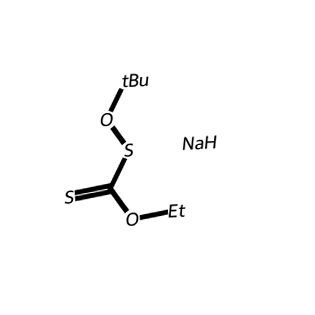 CCOC(=S)SOC(C)(C)C.[NaH]